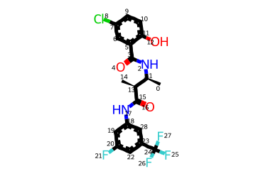 C[C@H](NC(=O)c1cc(Cl)ccc1O)[C@H](C)C(=O)Nc1cc(F)cc(C(F)(F)F)c1